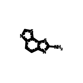 Nc1nc2ccc3ncsc3c2s1